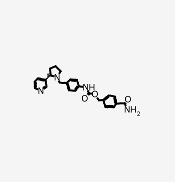 NC(=O)c1ccc(COC(=O)Nc2ccc(CN3CCC[C@@H]3c3cccnc3)cc2)cc1